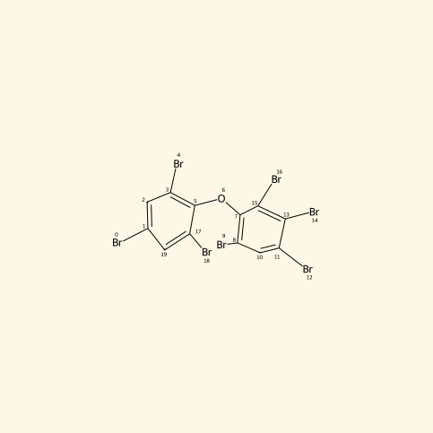 Brc1cc(Br)c(Oc2c(Br)cc(Br)c(Br)c2Br)c(Br)c1